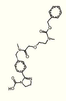 CN(Cc1ccc(C2=NCCN2C(=O)O)cc1)C(=O)COCCN(C)C(=O)OCc1ccccc1